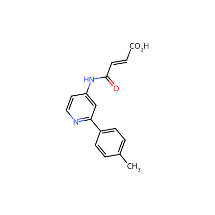 Cc1ccc(-c2cc(NC(=O)C=CC(=O)O)ccn2)cc1